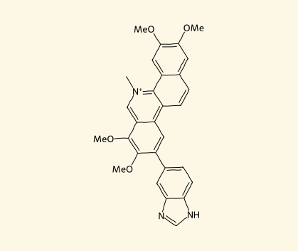 COc1cc2ccc3c4cc(-c5ccc6[nH]cnc6c5)c(OC)c(OC)c4c[n+](C)c3c2cc1OC